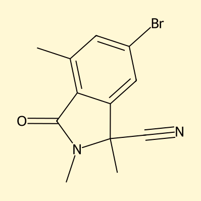 Cc1cc(Br)cc2c1C(=O)N(C)C2(C)C#N